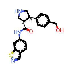 O=C(Nc1ccc2cnsc2c1)[C@@H]1CNC[C@H]1c1ccc(CO)cc1